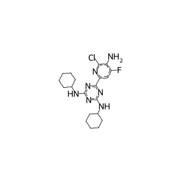 Nc1c(F)cc(-c2nc(NC3CCCCC3)nc(NC3CCCCC3)n2)nc1Cl